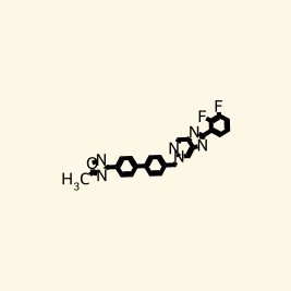 Cc1nc(-c2ccc(-c3ccc(Cn4cc5nc(-c6cccc(F)c6F)nc-5cn4)cc3)cc2)no1